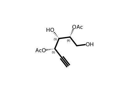 C#C[C@H](OC(C)=O)[C@H](O)[C@@H](CO)OC(C)=O